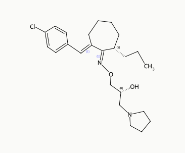 CCC[C@H]1CCCCC(=C\c2ccc(Cl)cc2)/C1=N/OC[C@H](O)CN1CCCC1